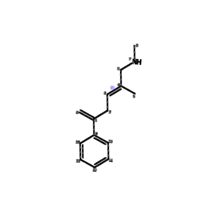 C=C(C/C=C(\C)CNC)c1ccccc1